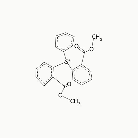 COC(=O)c1ccccc1[S+](c1ccccc1)c1ccccc1C(=O)OC